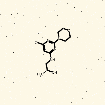 C[C@@H](O)CNc1cc(Cl)nc(N2CCOCC2)n1